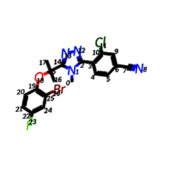 Cn1c(-c2ccc(C#N)cc2Cl)nnc1C(C)(C)Oc1ccc(F)cc1Br